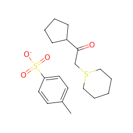 Cc1ccc(S(=O)(=O)[O-])cc1.O=C(C[S+]1CCCCC1)C1CCCC1